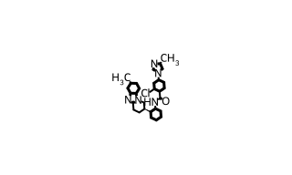 Cc1ccc2c(c1)nc1n2C[C@@H](c2ccccc2NC(=O)c2ccc(-n3cnc(C)c3)cc2Cl)CC1